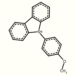 COc1ccc([SH]2c3ccccc3-c3ccccc32)cc1